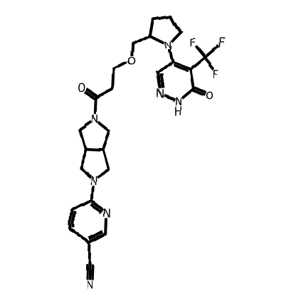 N#Cc1ccc(N2CC3CN(C(=O)CCOCC4CCCN4c4cn[nH]c(=O)c4C(F)(F)F)CC3C2)nc1